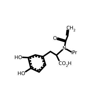 C=CC(=O)N(C(C)C)C(Cc1ccc(O)c(O)c1)C(=O)O